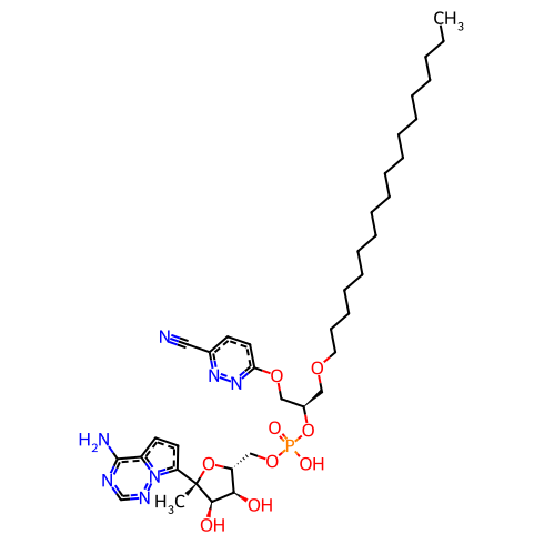 CCCCCCCCCCCCCCCCCCOC[C@H](COc1ccc(C#N)nn1)OP(=O)(O)OC[C@H]1O[C@@](C)(c2ccc3c(N)ncnn23)[C@H](O)[C@@H]1O